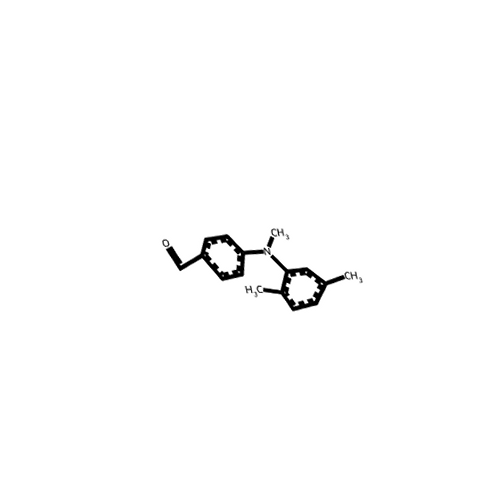 Cc1ccc(C)c(N(C)c2ccc(C=O)cc2)c1